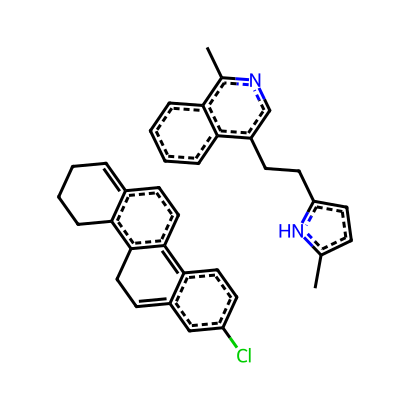 Cc1ccc(CCc2cnc(C)c3ccccc23)[nH]1.Clc1ccc2c(c1)=CCc1c3c(ccc1=2)=CCCC3